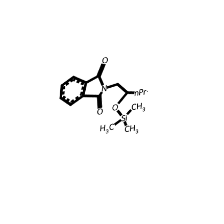 CC[CH]C(CN1C(=O)c2ccccc2C1=O)O[Si](C)(C)C